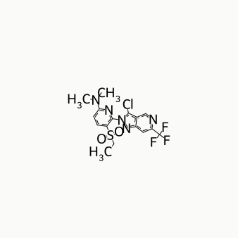 CCS(=O)(=O)c1ccc(N(C)C)nc1-n1nc2cc(C(F)(F)F)ncc2c1Cl